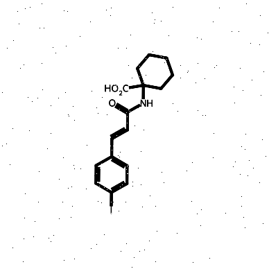 O=C(C=Cc1ccc(I)cc1)NC1(C(=O)O)CCCCC1